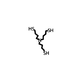 SCCCCN(CCCCS)CCCCS